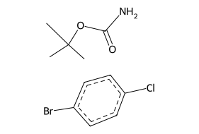 CC(C)(C)OC(N)=O.Clc1ccc(Br)cc1